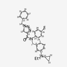 CCN(c1cccc(CN(C(=O)c2cn(Cc3ccccc3)nn2)c2ccc(F)cc2)c1)C1CC1